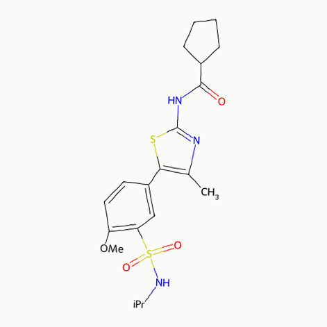 COc1ccc(-c2sc(NC(=O)C3CCCC3)nc2C)cc1S(=O)(=O)NC(C)C